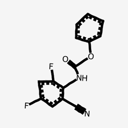 N#Cc1cc(F)cc(F)c1NC(=O)Oc1ccccc1